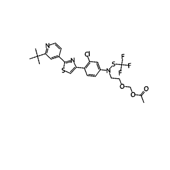 CC(=O)OCOCCN(SC(F)(F)F)c1ccc(-c2csc(-c3ccnc(C(C)(C)C)c3)n2)c(Cl)c1